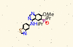 COc1cc2ncnc(Nc3ccc4scnc4c3)c2cc1P(=O)(C(C)C)C(C)C